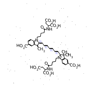 C=c1\c(=C/C=C/C=C/C=C/C2=[N+](CCCCC(=O)NC(CC(=O)O)C(=O)O)c3ccc(C(=O)O)cc3C2(C)C)n(CCCCC(=O)NC(CC(=O)O)C(=O)O)c2ccc(C(=O)O)cc12